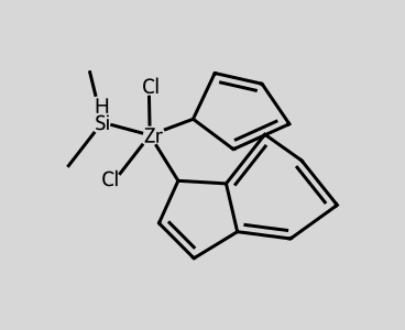 C[SiH](C)[Zr]([Cl])([Cl])([CH]1C=CC=C1)[CH]1C=Cc2ccccc21